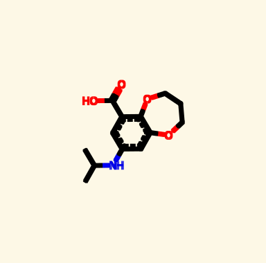 CC(C)Nc1cc2c(c(C(=O)O)c1)OCCCO2